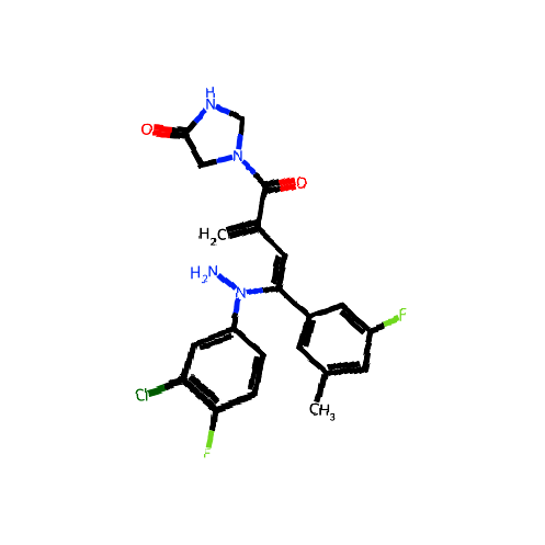 C=C(/C=C(/c1cc(C)cc(F)c1)N(N)c1ccc(F)c(Cl)c1)C(=O)N1CNC(=O)C1